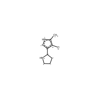 Cc1[nH]nc(C2CCCN2)c1Cl